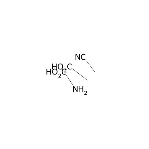 CC#N.CC(=O)O.NC(=O)O